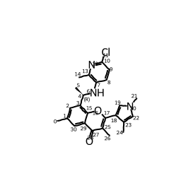 Cc1cc([C@@H](C)Nc2ccc(Cl)nc2C)c2oc(-c3cn(C)cc3C)c(C)c(=O)c2c1